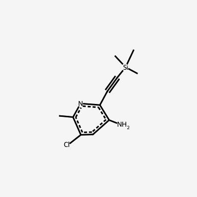 Cc1nc(C#C[Si](C)(C)C)c(N)cc1Cl